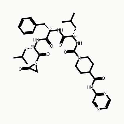 CC(C)C[C@H](NC(=O)N1CCC(C(=O)Nc2cnccn2)CC1)C(=O)N[C@@H](Cc1ccccc1)C(=O)N[C@@H](CC(C)C)C(=O)N1CC1=O